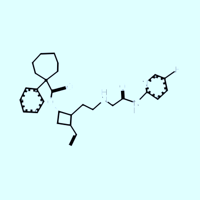 C=CC1C[C@H](OC(=O)C2(c3ccccc3)CCCCCC2)C1CCNCC(=O)Nc1ccc(F)cn1